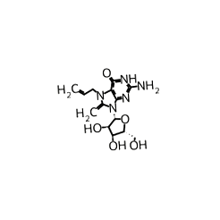 C=CCN1C(=C)N([C@@H]2O[C@H](CO)[C@@H](O)[C@H]2O)c2nc(N)[nH]c(=O)c21